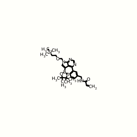 C=CC(=O)NCc1cccc(-c2ncnc3c2c(B2OC(C)(C)C(C)(C)O2)cn3COCC[Si](C)(C)C)c1